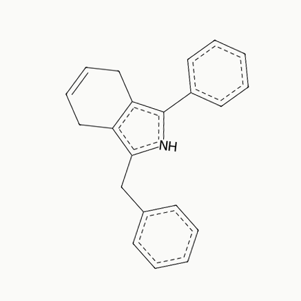 C1=CCc2c(-c3ccccc3)[nH]c(Cc3ccccc3)c2C1